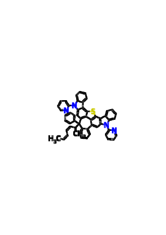 C=C(/C=C\C=C/C)C1(c2ccccc2)c2ccccc2-c2cc3c(c4ccccc4n3-c3ccccn3)c3sc4c(c1cc1c4c4ccccc4n1-c1ccccn1)c23